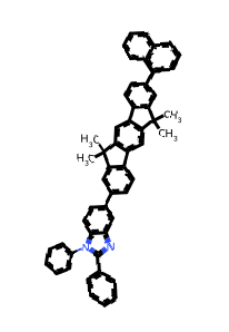 CC1(C)c2cc(-c3ccc4c(c3)nc(-c3ccccc3)n4-c3ccccc3)ccc2-c2cc3c(cc21)-c1ccc(-c2cccc4ccccc24)cc1C3(C)C